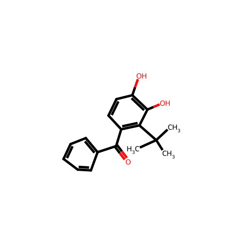 CC(C)(C)c1c(C(=O)c2ccccc2)ccc(O)c1O